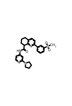 CS(=O)(=O)c1cccc(-c2ccc3c(n2)C(C(=O)Nc2ccnc(N4CCCC4)c2)CCC3)c1